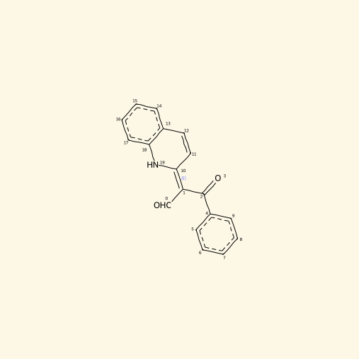 O=C/C(C(=O)c1ccccc1)=C1/C=Cc2ccccc2N1